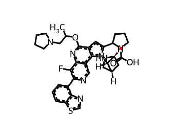 CC(CN1CCCC1)Oc1nc2c(F)c(-c3cccc4scnc34)ncc2c2c1cc(C1CCCN1C(=O)O)n2[C@H]1[C@H]2CN[C@@H]1C2